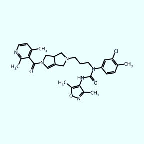 Cc1ccc(N(CCCN2CC3=CN(C(=O)c4c(C)ccnc4C)CC3C2)C(=O)Nc2c(C)noc2C)cc1Cl